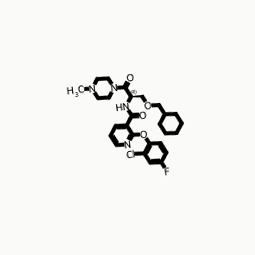 CN1CCN(C(=O)[C@@H](COCC2CCCCC2)NC(=O)c2cccnc2Oc2ccc(F)cc2Cl)CC1